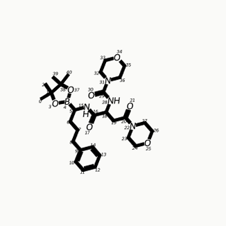 CC1(C)OB(C(CCCc2ccccc2)NC(=O)C(CC(=O)N2CCOCC2)NC(=O)N2CCOCC2)OC1(C)C